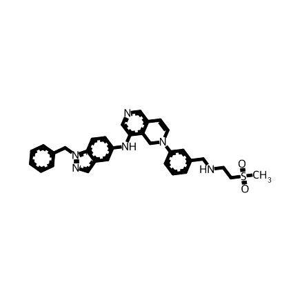 CS(=O)(=O)CCNCc1cccc(N2C=Cc3cncc(Nc4ccc5c(cnn5Cc5ccccc5)c4)c3C2)c1